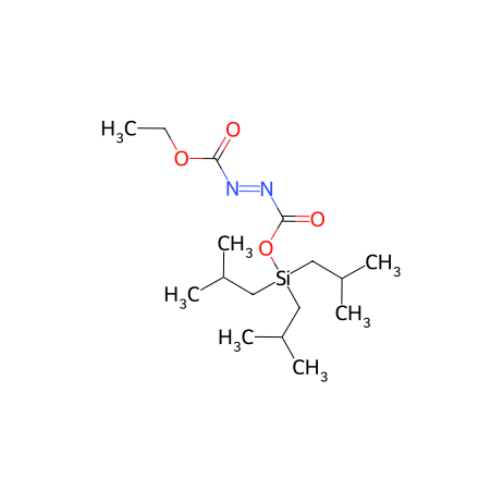 CCOC(=O)N=NC(=O)O[Si](CC(C)C)(CC(C)C)CC(C)C